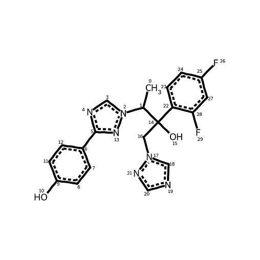 CC(n1cnc(-c2ccc(O)cc2)n1)C(O)(Cn1cncn1)c1ccc(F)cc1F